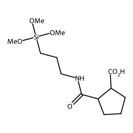 CO[Si](CCCNC(=O)C1CCCC1C(=O)O)(OC)OC